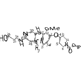 COc1c(OC2CCN(C(=O)OC(C)C)CC2)ccnc1Nc1cnc(NCCCO)cc1C